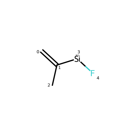 C=C(C)[Si]F